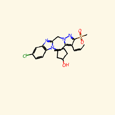 C=Cc1c(/C=C\C)c(S(C)(=O)=O)nn1Cc1nc2cc(Cl)ccc2n1C1CCC(O)C1